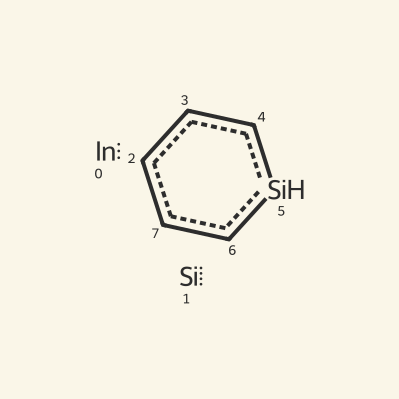 [In].[Si].c1cc[siH]cc1